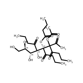 CCCC(=O)O[C@@](C(=O)CCC)(C(OC(C)=O)(C(C)=O)C(=O)CCC)[C@](O)(C(=O)CCC)[C@H](O)[C@H](O)CO